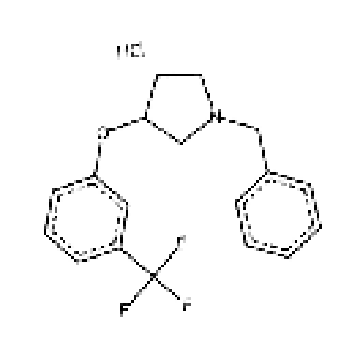 Cl.FC(F)(F)c1cccc(OC2CCN(Cc3ccccc3)C2)c1